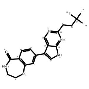 O=C1NCCOc2cc(-c3c[nH]c4nc(CCC(F)(F)F)ncc34)ccc21